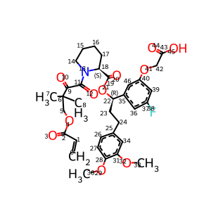 C=CC(=O)OCC(C)(C)C(=O)C(=O)N1CCCC[C@H]1C(=O)O[C@H](CCc1ccc(OC)c(OC)c1)c1cc(F)cc(OCC(=O)O)c1